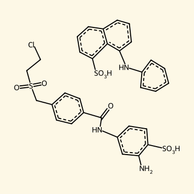 Nc1cc(NC(=O)c2ccc(CS(=O)(=O)CCCl)cc2)ccc1S(=O)(=O)O.O=S(=O)(O)c1cccc2cccc(Nc3ccccc3)c12